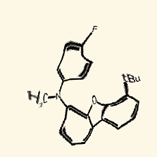 CN(c1ccc(F)cc1)c1cccc2c1oc1c(C(C)(C)C)cccc12